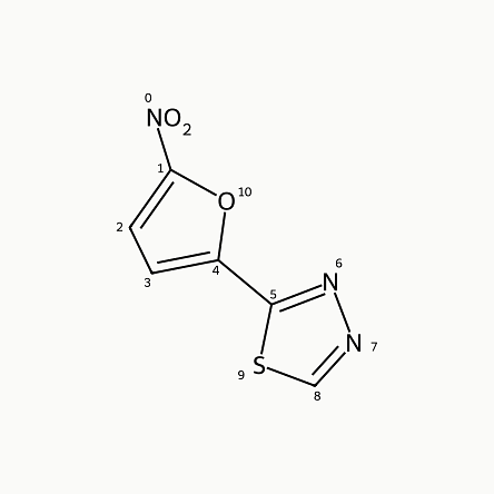 O=[N+]([O-])c1ccc(-c2nncs2)o1